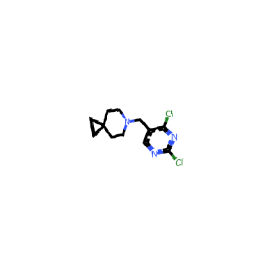 Clc1ncc(CN2CCC3(CC2)CC3)c(Cl)n1